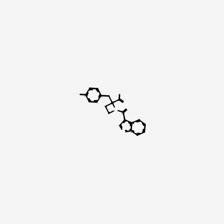 COC(=O)C1(Cc2ccc(F)cc2)CCN1C(=O)c1csc2ccccc12